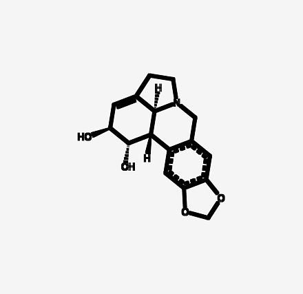 O[C@H]1[C@H]2c3cc4c(cc3CN3CCC(=C[C@@H]1O)[C@H]23)OCO4